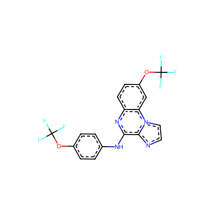 FC(F)(F)Oc1ccc(Nc2nc3ccc(OC(F)(F)F)cc3n3ccnc23)cc1